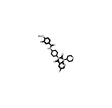 COc1ccc(C(=O)NC2CCC(n3c(=O)c4cc(F)cnc4n(C4CCSCC4)c3=O)CC2)cc1F